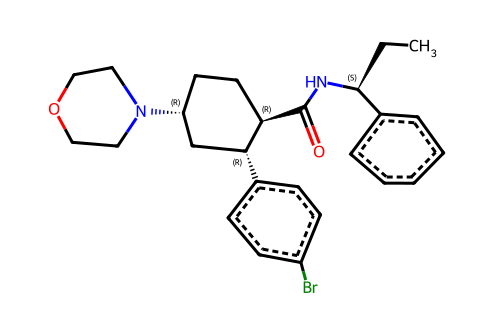 CC[C@H](NC(=O)[C@@H]1CC[C@@H](N2CCOCC2)C[C@H]1c1ccc(Br)cc1)c1ccccc1